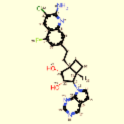 Nc1nc2cc(CC[C@@]34CC[C@@H]3[C@@H](n3ccc5cncnc53)[C@H](O)[C@@H]4O)cc(F)c2cc1Cl